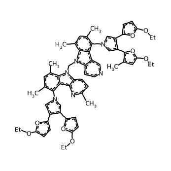 CCOc1ccc(-c2cn(-c3c(C)cc(C)c4c3c3nc(C)ccc3n4Cn3c4ccncc4c4c(-n5cc(-c6ccc(OCC)o6)c(-c6oc(OCC)cc6C)c5)c(C)cc(C)c43)cc2-c2ccc(OCC)o2)o1